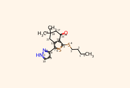 CCCCSc1sc(-c2cc[nH]n2)c2c1C(=O)CC(C)(C)C2